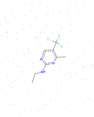 CCNc1ncc(C(F)(F)F)c(C)n1